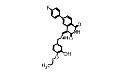 CCCOc1ccc(CNC=C2C(=O)NC(=O)c3ccc(-c4ccc(F)cc4)cc32)cc1O